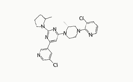 CC1CCCN1c1nc(-c2cncc(Cl)c2)cc(N2CCN(c3ncccc3Cl)C[C@H]2C)n1